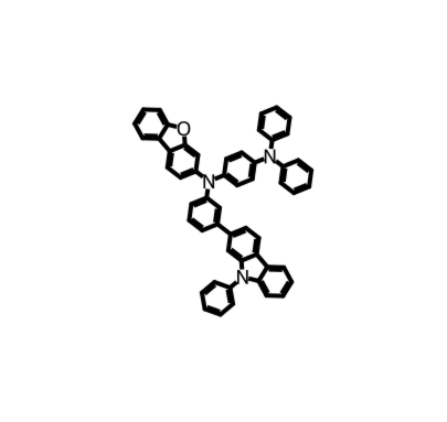 c1ccc(N(c2ccccc2)c2ccc(N(c3cccc(-c4ccc5c6ccccc6n(-c6ccccc6)c5c4)c3)c3ccc4c(c3)oc3ccccc34)cc2)cc1